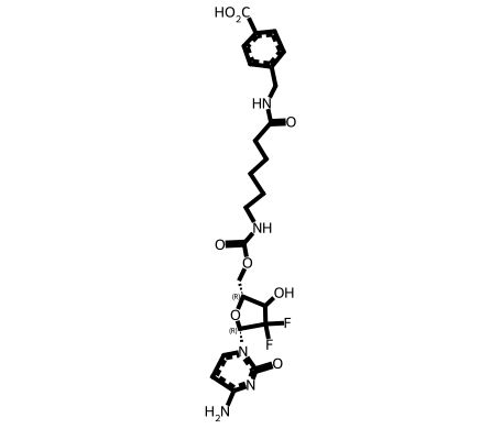 Nc1ccn([C@@H]2O[C@H](COC(=O)NCCCCCC(=O)NCc3ccc(C(=O)O)cc3)C(O)C2(F)F)c(=O)n1